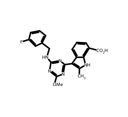 COc1nc(NCc2cccc(F)c2)nc(-c2c(C)[nH]c3c(C(=O)O)cccc23)n1